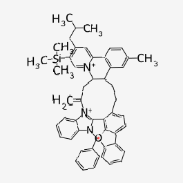 C=C1CC2C(CCc3ccc4c(oc5ccccc54)c3-c3n(Cc4ccccc4)c4ccccc4[n+]31)c1cc(C)ccc1-c1cc(CC(C)C)c([Si](C)(C)C)c[n+]12